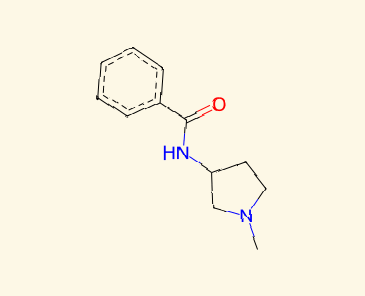 CN1CCC(NC(=O)c2ccccc2)C1